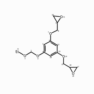 CCOCOc1cc(OCC2CO2)cc(OCC2CO2)c1